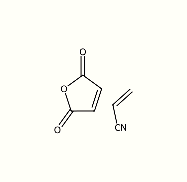 C=CC#N.O=C1C=CC(=O)O1